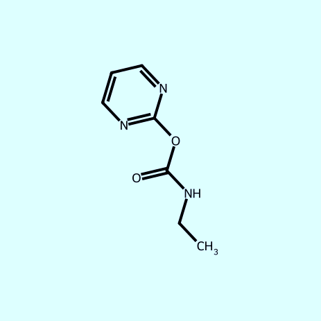 CCNC(=O)Oc1ncccn1